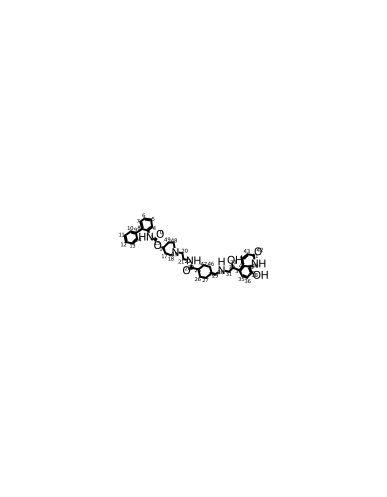 O=C(Nc1ccccc1-c1ccccc1)OC1CCN(CCNC(=O)C2CCC(CNCC(O)c3ccc(O)c4[nH]c(=O)ccc34)CC2)CC1